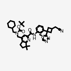 Cn1cnnc1C1(c2cccc(NC(=O)c3cc(CN(CC4CCCCC4)C(=O)OC(C)(C)C)c4c(n3)C(C)(C)CC4)c2)CC(CC#N)C1